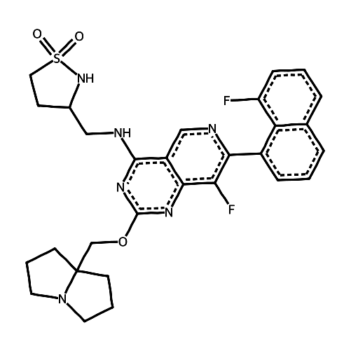 O=S1(=O)CCC(CNc2nc(OCC34CCCN3CCC4)nc3c(F)c(-c4cccc5cccc(F)c45)ncc23)N1